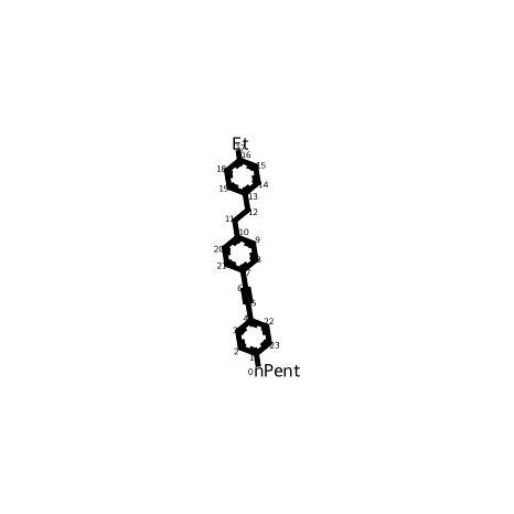 CCCCCc1ccc(C#Cc2ccc(CCc3ccc(CC)cc3)cc2)cc1